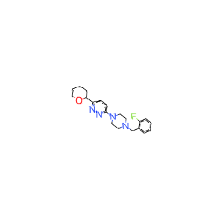 Fc1ccccc1CN1CCN(c2ccc(C3CCCCO3)nn2)CC1